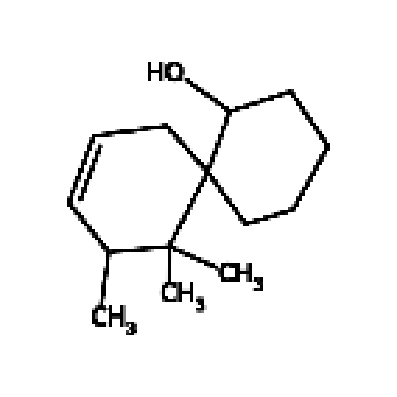 CC1C=CCC2(CCCCC2O)C1(C)C